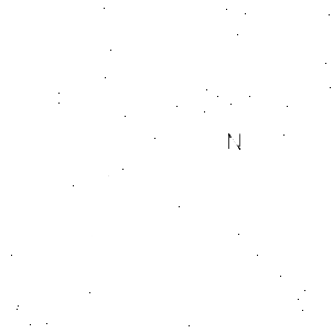 C1=NCC2CC2C1